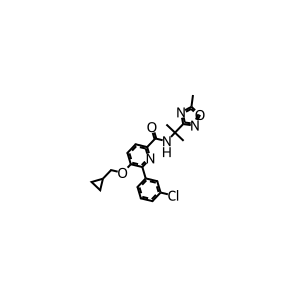 Cc1nc(C(C)(C)NC(=O)c2ccc(OCC3CC3)c(-c3cccc(Cl)c3)n2)no1